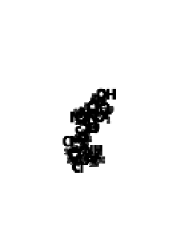 CC1(C)O[C@@H]2[C@@H](CO)CC[C@@]2(Nc2ncncc2C(=O)c2cc(C(N[S+]([O-])C(C)(C)C)c3cccc(Cl)c3)c(Cl)s2)O1